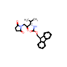 CC(C)[C@H](NC(=O)OCC1c2ccccc2-c2ccccc21)C(=O)CN1C(=O)CCC1=O